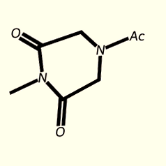 CC(=O)N1CC(=O)N(C)C(=O)C1